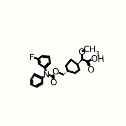 COC(C(=O)O)[C@H]1CC[C@H](COC(=O)N(c2ccccc2)c2cccc(F)c2)CC1